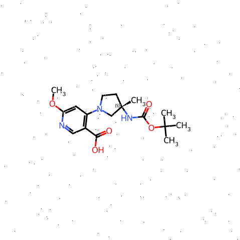 COc1cc(N2CC[C@](C)(NC(=O)OC(C)(C)C)C2)c(C(=O)O)cn1